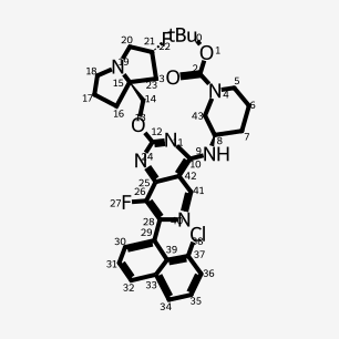 CC(C)(C)OC(=O)N1CCC[C@@H](Nc2nc(OC[C@@]34CCCN3C[C@H](F)C4)nc3c(F)c(-c4cccc5cccc(Cl)c45)ncc23)C1